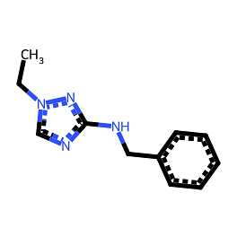 CCn1cnc(NCc2ccccc2)n1